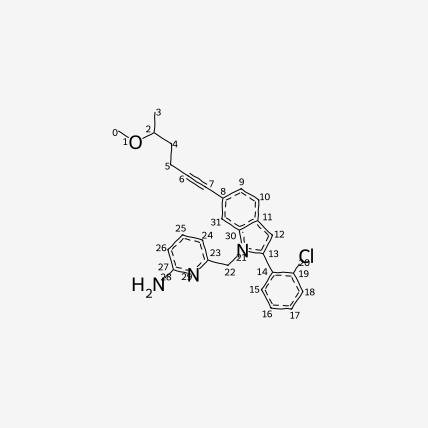 COC(C)CCC#Cc1ccc2cc(-c3ccccc3Cl)n(Cc3cccc(N)n3)c2c1